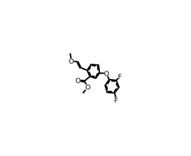 CO/C=C/c1ccc(Oc2ccc(F)cc2F)cc1C(=O)OC